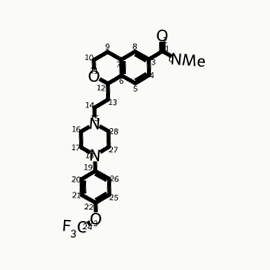 CNC(=O)c1ccc2c(c1)CCOC2CCN1CCN(c2ccc(OC(F)(F)F)cc2)CC1